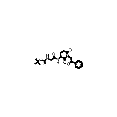 CC(C)(C)OC(=O)NCC(=O)NC1CCC(=O)N(CC(=O)c2ccccc2)C1=O